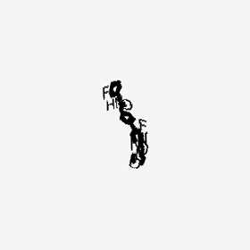 O=C(Cc1ccc(-c2cnc(ON3CCOCC3)nc2F)cc1)NCc1cccc(F)c1